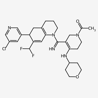 CC(=O)N1CCC(NC2CCOCC2)=C(C(=N)N2CCCC3=C2C=C(C(F)F)C(c2cncc(Cl)c2)C3)C1